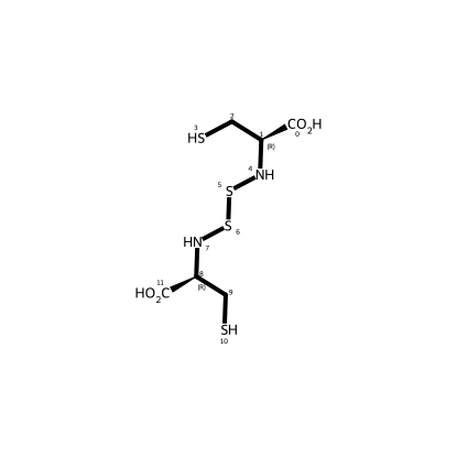 O=C(O)[C@H](CS)NSSN[C@@H](CS)C(=O)O